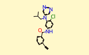 C#Cc1cccc(C(=O)Nc2ccc(Cl)c(N(CC(C)C)c3cncnc3)c2)c1